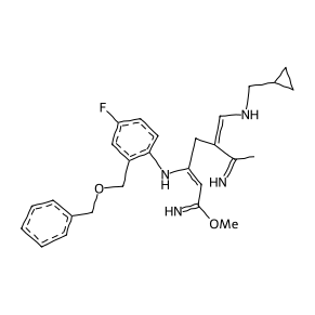 COC(=N)/C=C(/C/C(=C/NCC1CC1)C(C)=N)Nc1ccc(F)cc1COCc1ccccc1